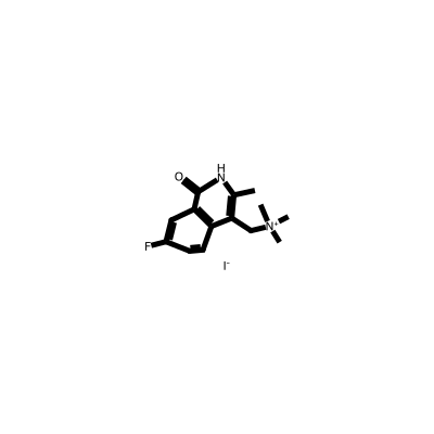 Cc1[nH]c(=O)c2cc(F)ccc2c1C[N+](C)(C)C.[I-]